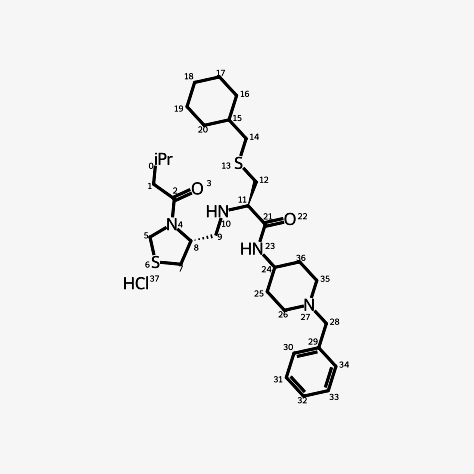 CC(C)CC(=O)N1CSC[C@H]1CN[C@@H](CSCC1CCCCC1)C(=O)NC1CCN(Cc2ccccc2)CC1.Cl